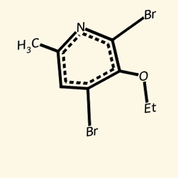 CCOc1c(Br)cc(C)nc1Br